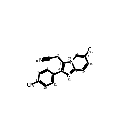 N#CCc1c(-c2ccc(Cl)cc2)nc2ccc(Cl)cn12